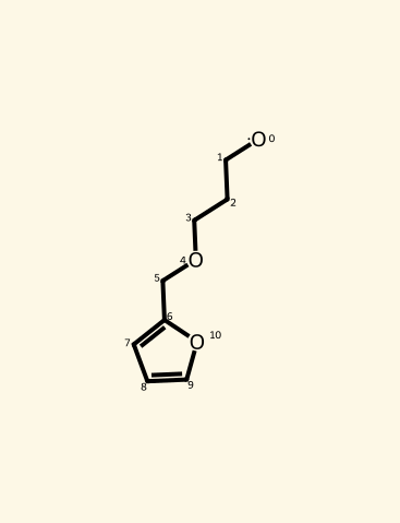 [O]CCCOCc1ccco1